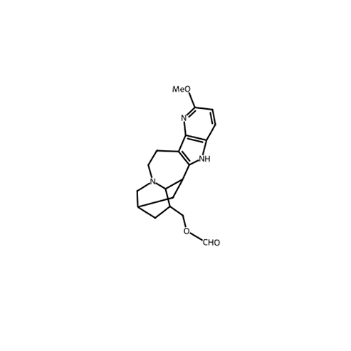 COc1ccc2[nH]c3c(c2n1)CCN1CC2CC(COC=O)C1C3C2